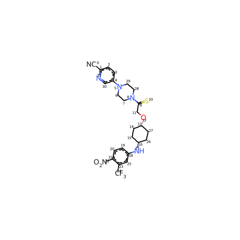 N#Cc1ccc(N2CCN(C(=S)CO[C@H]3CC[C@H](Nc4ccc([N+](=O)[O-])c(C(F)(F)F)c4)CC3)CC2)cn1